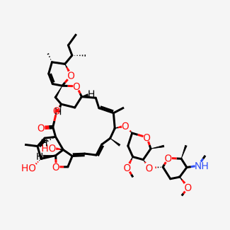 CC[C@H](C)[C@H]1O[C@]2(C=C[C@@H]1C)C[C@@H]1C[C@@H](C/C=C(\C)[C@@H](O[C@H]3C[C@H](OC)[C@@H](O[C@H]4C[C@H](OC)C(NC)[C@H](C)O4)[C@H](C)O3)[C@@H](C)/C=C/C=C3\CO[C@@H]4[C@H](O)C(C)=C[C@@H](C(=O)O1)[C@]34O)O2